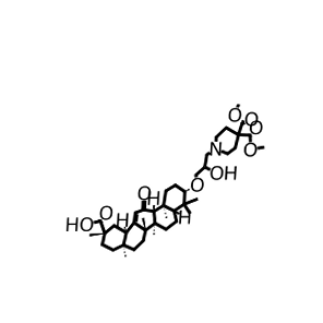 COC(=O)C1(C(=O)OC)CCN(CC(O)CO[C@H]2CC[C@]3(C)[C@H]4C(=O)C=C5[C@@H]6C[C@@](C)(C(=O)O)CC[C@]6(C)CC[C@@]5(C)[C@]4(C)CC[C@H]3C2(C)C)CC1